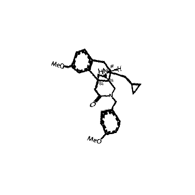 COc1ccc(CN2C[C@H]3[C@H]4Cc5ccc(OC)cc5[C@@]3(CCN4CC3CC3)CC2=O)cc1